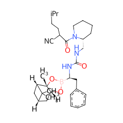 CC(C)CCC(C#N)C(=O)N1CCCC[C@@H]1CNC(=O)N[C@@H](Cc1ccccc1)B1O[C@@H]2C[C@@H]3C[C@@H](C3(C)C)[C@]2(C)O1